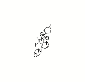 Cc1ccc(S(=O)(=O)n2c(C)c(I)c3c(N4CCOCC4)ccnc32)cc1